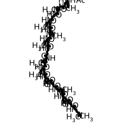 CC(=O)Nc1cc(C(=O)Nc2cc(C(=O)NCCC(=O)Nc3cc(C(=O)Nc4cn(C)c(C(=O)Nc5cc(C(=O)NCCCC(=O)Nc6cc(C(=O)Nc7cc(C(=O)Nc8cc(C(=O)NCCC(=O)Nc9cn(C)c(C(=O)Nc%10cc(C(=O)NCCC(=O)NCCCN(C)C)n(C)c%10)n9)n(C)c8)n(C)c7)n(C)c6)n(C)c5)n4)n(C)c3)n(C)c2)n(C)c1